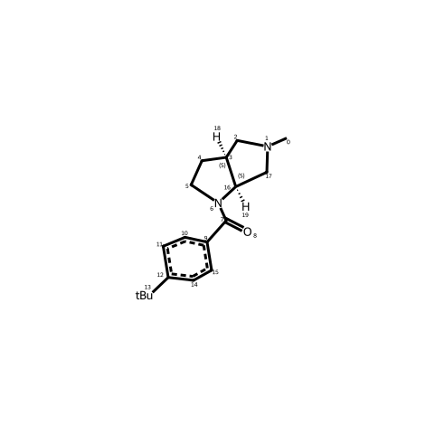 CN1C[C@@H]2CCN(C(=O)c3ccc(C(C)(C)C)cc3)[C@@H]2C1